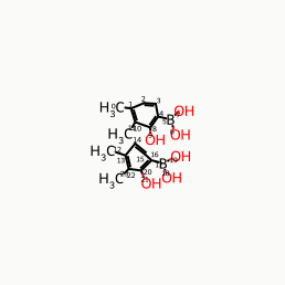 Cc1ccc(B(O)O)c(O)c1C.Cc1ccc(B(O)O)c(O)c1C